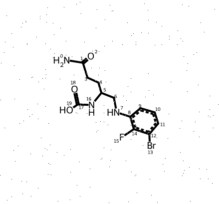 NC(=O)CCC(CNc1cccc(Br)c1F)NC(=O)O